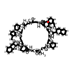 CN1CC(=O)N(C)[C@@H](C2CCCCC2)C(=O)NC[C@@H](NC(=O)c2nc3ccccc3cc2OCc2ccccc2)C(=O)N2CCCC[C@H]2C(=O)NCC(=O)N(C)CC(=O)N(C)[C@@H](C2CCCCC2)C(=O)NC[C@@H](NC(=O)c2nc3ccccc3cc2OCc2ccccc2)C(=O)N2CCCC[C@H]2C(=O)NCC1=O